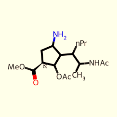 CCCC(C(C)NC(C)=O)C1C(N)C[C@H](C(=O)OC)C1OC(C)=O